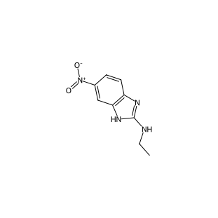 CCNc1nc2ccc([N+](=O)[O-])cc2[nH]1